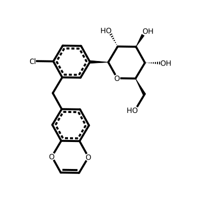 OC[C@H]1O[C@@H](c2ccc(Cl)c(Cc3ccc4c(c3)OC=CO4)c2)[C@H](O)[C@@H](O)[C@@H]1O